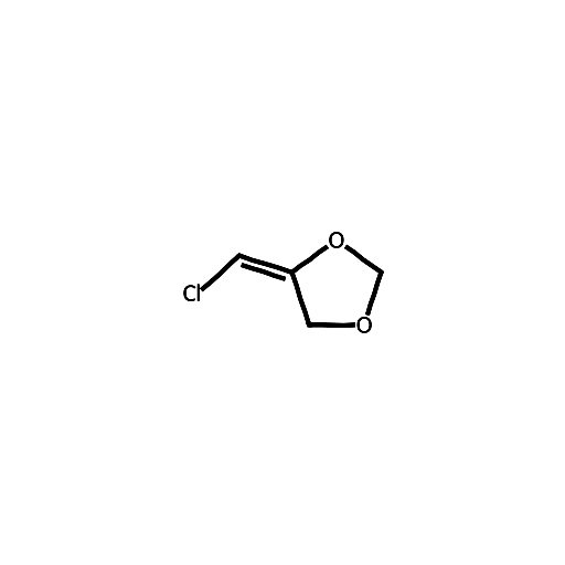 Cl/C=C1\COCO1